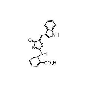 O=C1N=C(Nc2ccccc2C(=O)O)SC1=Cc1c[nH]c2ccccc12